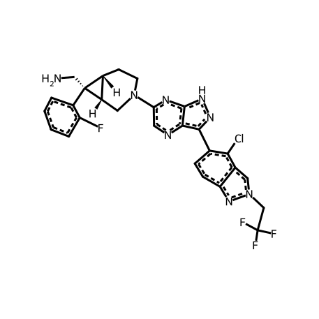 NC[C@]1(c2ccccc2F)[C@@H]2CCN(c3cnc4c(-c5ccc6nn(CC(F)(F)F)cc6c5Cl)n[nH]c4n3)C[C@@H]21